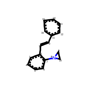 C(=Cc1ccccc1N1CC1)c1ccccc1